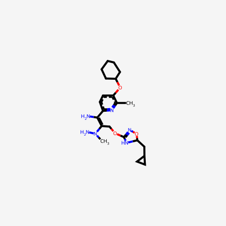 Cc1nc(/C(N)=C(\COC2=NOC(CC3CC3)N2)N(C)N)ccc1OC1CCCCC1